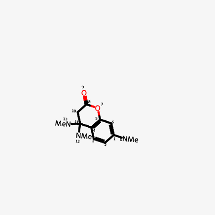 CNc1ccc2c(c1)OC(=O)CC2(NC)NC